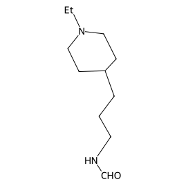 CCN1CCC(CCCNC=O)CC1